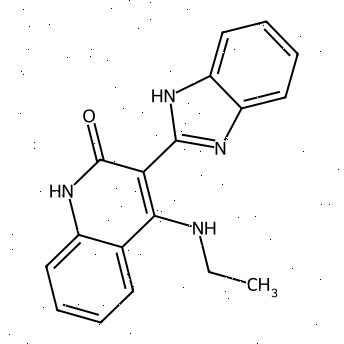 CCNc1c(-c2nc3ccccc3[nH]2)c(=O)[nH]c2ccccc12